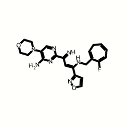 N=C(/C=C(\NCC1=CCC=CC=C1F)c1ccon1)c1ncc(N2CCOCC2)c(N)n1